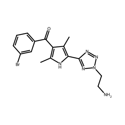 Cc1[nH]c(-c2nnn(CCN)n2)c(C)c1C(=O)c1cccc(Br)c1